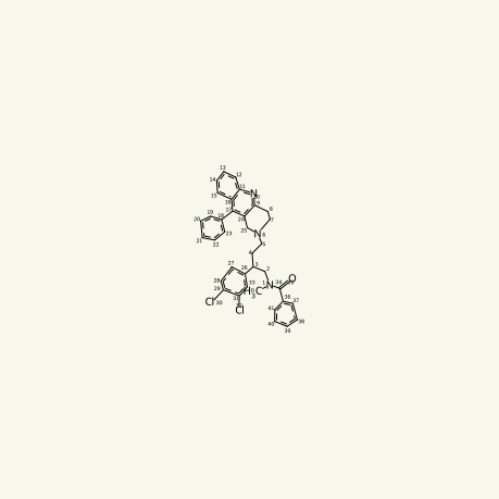 CN(CC(CCN1CCc2nc3ccccc3c(-c3ccccc3)c2C1)c1ccc(Cl)c(Cl)c1)C(=O)c1ccccc1